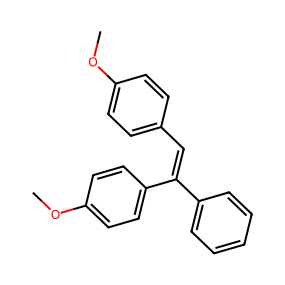 COc1ccc(C=C(c2ccccc2)c2ccc(OC)cc2)cc1